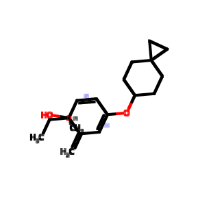 C=C(/C=C(\C=C/[C@H](C)CC)OC1CCC2(CC1)CC2)CO